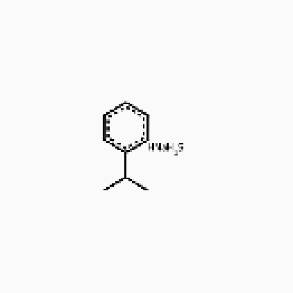 CC(C)c1ccccc1.S.[NaH]